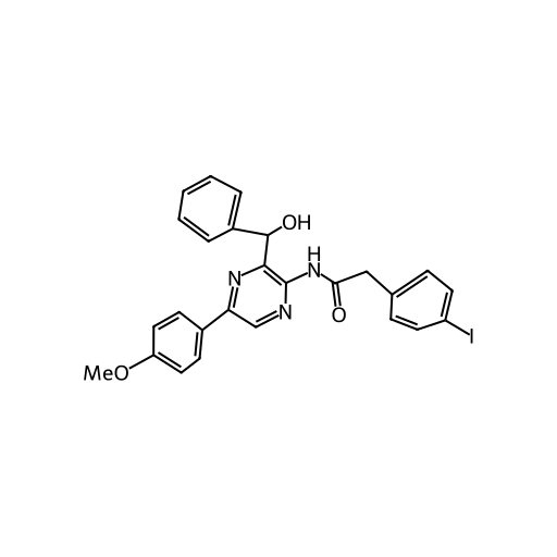 COc1ccc(-c2cnc(NC(=O)Cc3ccc(I)cc3)c(C(O)c3ccccc3)n2)cc1